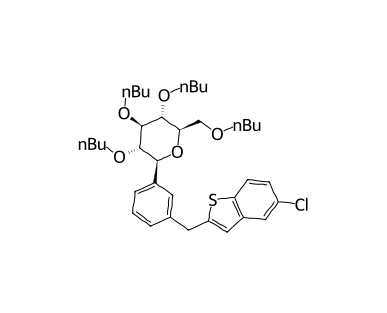 CCCCOC[C@H]1O[C@@H](c2cccc(Cc3cc4cc(Cl)ccc4s3)c2)[C@H](OCCCC)[C@@H](OCCCC)[C@@H]1OCCCC